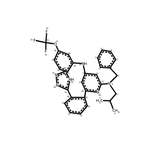 CC(C)CN(Cc1ccccc1)c1cc(Nc2cccc(OC(F)(F)F)c2)cc(-c2ccccc2-c2nnn[nH]2)n1